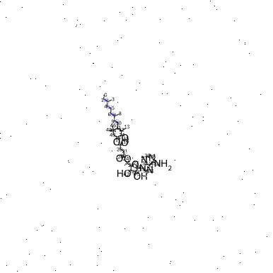 C/C=C(C)/C=C/C=C(C)/C=C/C1=C(C)C(=O)C(OC(=O)CCC(=O)OCC2OC(n3cnc4c(N)ncnc43)C(O)C2O)CC1(C)C